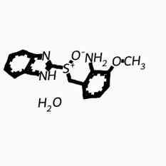 COc1cccc(C[S+]([O-])c2nc3ccccc3[nH]2)c1N.O